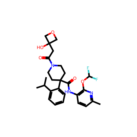 Cc1ccc(NC(=O)C2(c3ccccc3C(C)C)CCN(C(=O)CC3(O)COC3)CC2)c(OC(F)F)n1